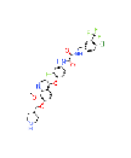 COc1c(OCC2CCNCC2)ccc2c(Oc3ccc(NC(=O)C(=O)NCc4ccc(Cl)c(C(F)(F)F)c4)cc3F)ccnc12